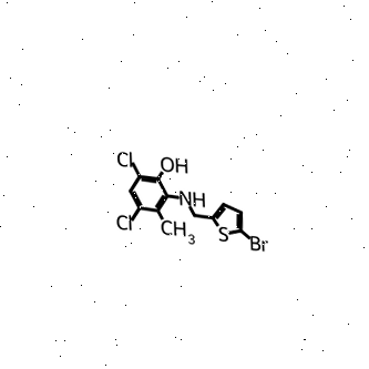 Cc1c(Cl)cc(Cl)c(O)c1NCc1ccc(Br)s1